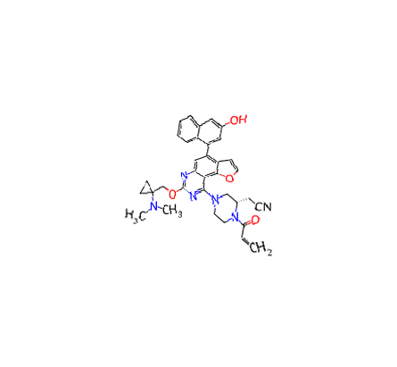 C=CC(=O)N1CCN(c2nc(OCC3(N(C)C)CC3)nc3cc(-c4cc(O)cc5ccccc45)c4ccoc4c23)C[C@@H]1CC#N